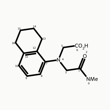 CNC(=O)CN(CC(=O)O)c1cccc2c1CCCC2